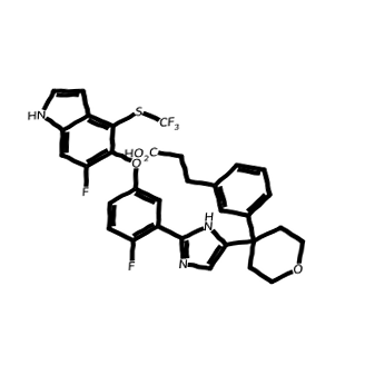 O=C(O)CCc1cccc(C2(c3cnc(-c4cc(Oc5c(F)cc6[nH]ccc6c5SC(F)(F)F)ccc4F)[nH]3)CCOCC2)c1